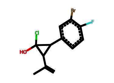 C=C(C)C1C(c2ccc(F)c(Br)c2)C1(O)Cl